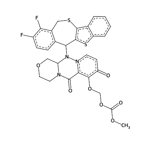 COC(=O)OCOc1c2n(ccc1=O)N(C1c3ccc(F)c(F)c3CSc3c1sc1ccccc31)C1COCCN1C2=O